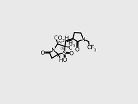 C[C@]1(C=C2CCN(CC(F)(F)F)C2=O)[C@H](C(=O)O)N2C(=O)C[C@H]2S1(=O)=O